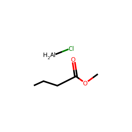 CCCC(=O)OC.[AlH2][Cl]